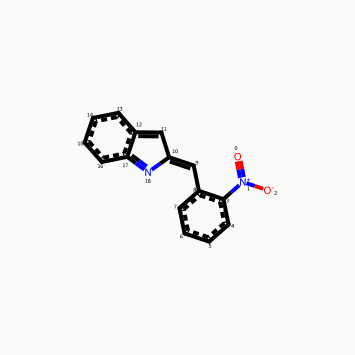 O=[N+]([O-])c1ccccc1C=C1C=c2ccccc2=N1